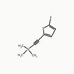 C[Si](C)(C)C#Cc1ccc(F)s1